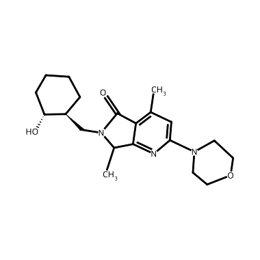 Cc1cc(N2CCOCC2)nc2c1C(=O)N(C[C@@H]1CCCC[C@H]1O)C2C